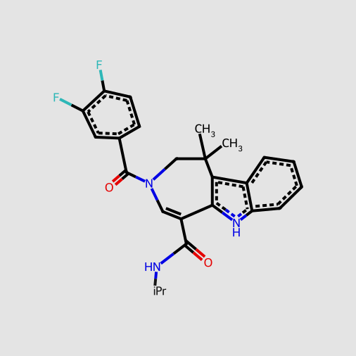 CC(C)NC(=O)C1=CN(C(=O)c2ccc(F)c(F)c2)CC(C)(C)c2c1[nH]c1ccccc21